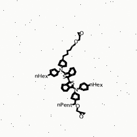 CCCCCCc1ccc(N(c2ccc(CCCCCCOCC3CO3)cc2)c2sc(-c3sc(N(c4ccc(CCCCCC)cc4)c4ccc(C(CCCCC)OCC5CO5)cc4)c4ccccc34)c3ccccc23)cc1